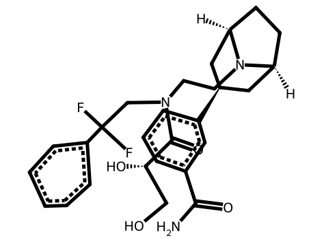 NC(=O)c1cccc([C@H]2C[C@H]3CC[C@@H](C2)N3CCN(CC(F)(F)c2ccccc2)C(=O)[C@@H](O)CO)c1